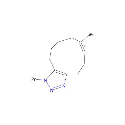 CC(C)/C1=C/CCc2nnn(C(C)C)c2CCCC1